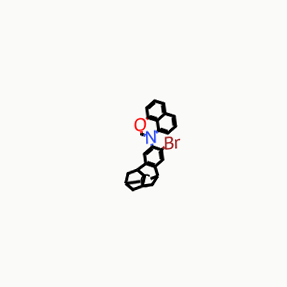 Brc1cc2c(cc1N1COc3cccc4cccc1c34)C1CC3CC(CC2C3)C1